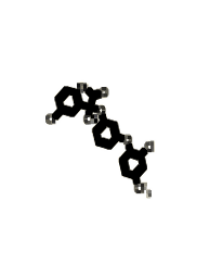 CCC(=O)C(C#N)(Oc1cccc(Oc2ccc(C(F)(F)F)cc2Cl)c1)c1cccc(Cl)c1